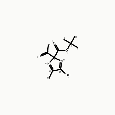 CC(=O)C1(C(=O)OC(C)(C)C)N=C(C)C(O)=N1